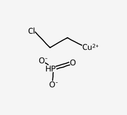 ClC[CH2][Cu+2].O=[PH]([O-])[O-]